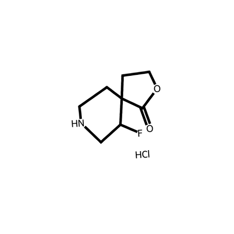 Cl.O=C1OCCC12CCNCC2F